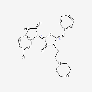 O=C1Nc2ccc(Cl)cc2/C1=C1/S/C(=N\c2ccccc2)N(CCN2CCOCC2)C1=O